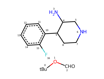 CC(C)(C)OC=O.NC1CNCCC1c1ccccc1F